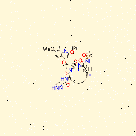 COc1ccc2c(O[C@@H]3C[C@H]4C(=O)N[C@]5(C(=O)N[S+]([O-])C6(C)CC6)C[C@H]5/C=C\CCCCC[C@H](NC(=O)c5cc[nH]n5)C(=O)N4C3)cc(OC(C)C)nc2c1C